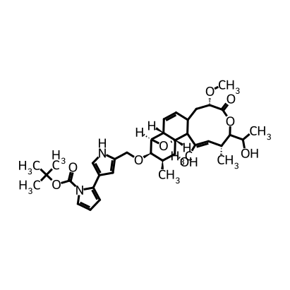 CO[C@H]1CC2C=C[C@H]3[C@H]4O[C@]2(/C(C)=C/[C@@H](C)C(C(C)O)OC1=O)[C@@H]3[C@H](O)[C@@H](C)[C@H]4OCc1cc(-c2cccn2C(=O)OC(C)(C)C)c[nH]1